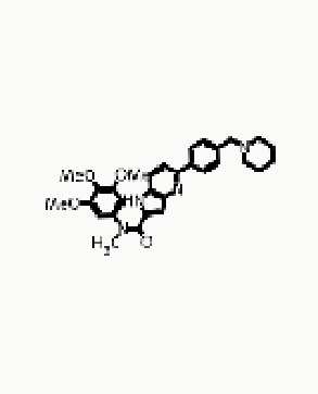 COc1cc(N(C)C(=O)c2cc3nc(-c4ccc(CN5CCCCC5)cc4)ccc3[nH]2)cc(OC)c1OC